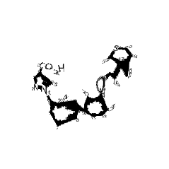 O=C(O)c1cnn(-c2cccc(-c3cccc(OCC4CCCSC4)c3)c2)c1